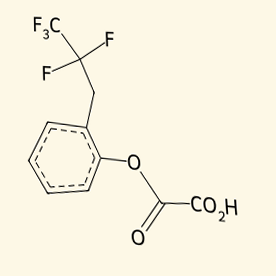 O=C(O)C(=O)Oc1ccccc1CC(F)(F)C(F)(F)F